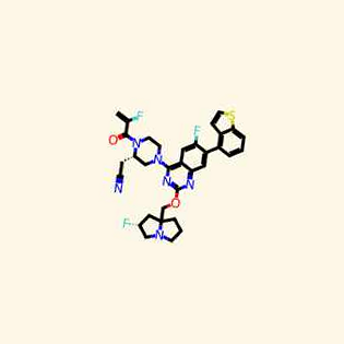 C=C(F)C(=O)N1CCN(c2nc(OCC34CCCN3C[C@H](F)C4)nc3cc(-c4cccc5sccc45)c(F)cc23)C[C@@H]1CC#N